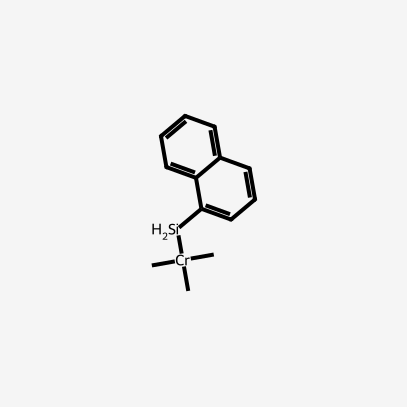 [CH3][Cr]([CH3])([CH3])[SiH2]c1cccc2ccccc12